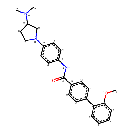 COc1ccccc1-c1ccc(C(=O)Nc2ccc(N3CCC(N(C)C)C3)cc2)cc1